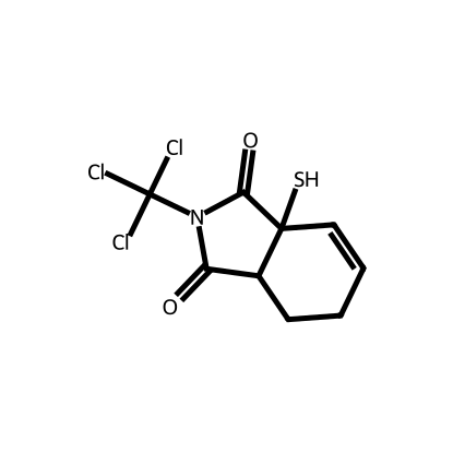 O=C1C2CCC=CC2(S)C(=O)N1C(Cl)(Cl)Cl